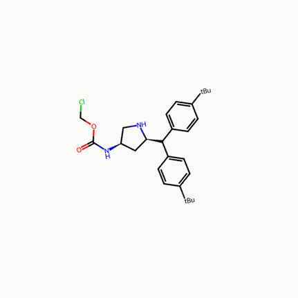 CC(C)(C)c1ccc(C(c2ccc(C(C)(C)C)cc2)[C@H]2C[C@@H](NC(=O)OCCl)CN2)cc1